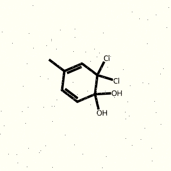 CC1=CC(Cl)(Cl)C(O)(O)C=C1